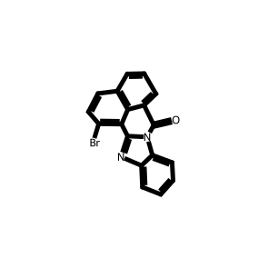 O=c1c2cccc3ccc(Br)c(c32)c2nc3ccccc3n12